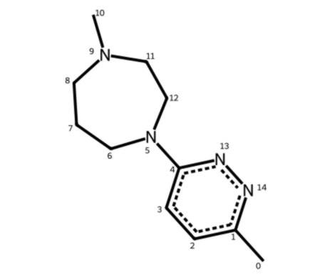 Cc1ccc(N2CCCN(C)CC2)nn1